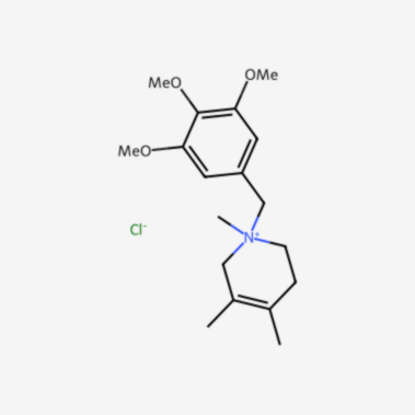 COc1cc(C[N+]2(C)CCC(C)=C(C)C2)cc(OC)c1OC.[Cl-]